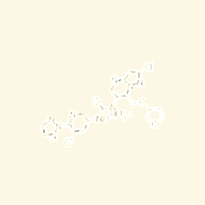 CC(O[C@@H]1CCOC1)c1c(NC(=O)Nc2cnc(-n3nccn3)c(Cl)c2)cnc2cc(Cl)nn12